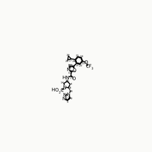 O=C(N[C@@H]1C[C@@H](Cn2ccnn2)N(C(=O)O)C1)c1nnc(-c2cc(OC(F)(F)F)ccc2C2CC2)o1